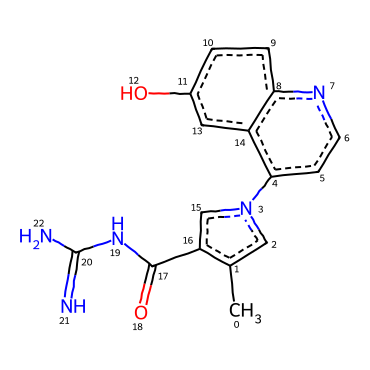 Cc1cn(-c2ccnc3ccc(O)cc23)cc1C(=O)NC(=N)N